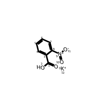 O=C(O)c1ccccc1[N+](=O)[O-].[K+]